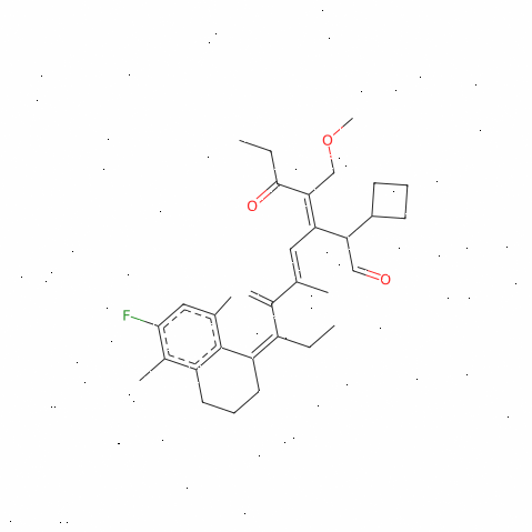 C=C(/C(CC)=C1/CCCc2c(C)c(F)cc(C)c21)/C(C)=C/C(=C(/COC)C(=O)CC)C(C=O)C1CCC1